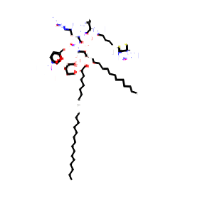 CCCCCCCCCCCCCCCCCCCCCCCCCC(=O)O[C@H](CCCCCCCCCCCCCC)[C@@H](O)[C@H](CO[C@H]1O[C@H](CO)[C@H](O)[C@H](O)[C@H]1O)N(C(=O)OCc1ccc(N)cc1)C(=O)[C@H](CCCNC(N)=O)NC(=O)[C@@H](NC(=O)CCCC[C@@H]1SC[C@@H]2NC(=O)N[C@@H]21)C(C)C